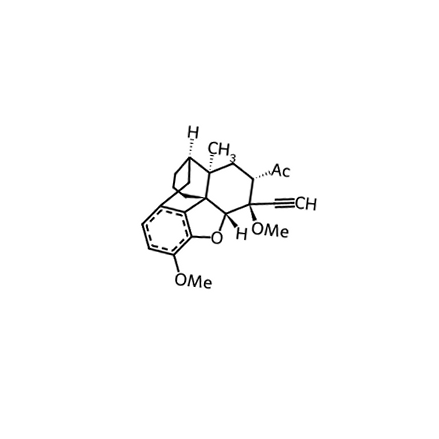 C#C[C@@]1(OC)[C@@H](C(C)=O)C[C@]2(C)[C@@H]3CCC[C@@]24c2c(ccc(OC)c2O[C@@H]14)C3